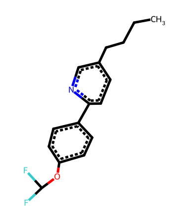 CCCCc1ccc(-c2ccc(OC(F)F)cc2)nc1